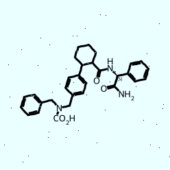 NC(=O)[C@@H](NC(=O)C1CCCCC1c1ccc(CN(Cc2ccccc2)C(=O)O)cc1)c1ccccc1